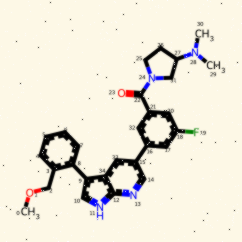 COCc1ccccc1-c1c[nH]c2ncc(-c3cc(F)cc(C(=O)N4CCC(N(C)C)C4)c3)cc12